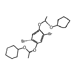 CC(Oc1cc(Br)c(OC(C)OC2CCCCC2)cc1Br)OC1CCCCC1